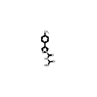 CCCCC(CC)NC(=O)n1cc(-c2ccc(C)cc2)cn1